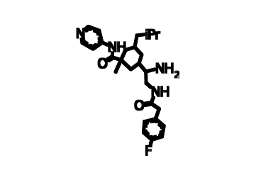 CC(C)CC1CC(C(N)CNC(=O)Cc2ccc(F)cc2)CC(C)(C(=O)Nc2ccncc2)C1